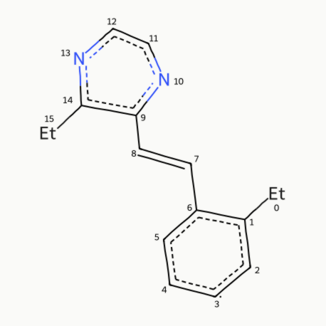 CCc1c[c]ccc1C=Cc1nccnc1CC